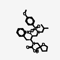 CCC1(CN(C(=O)O)[C@@H](Cc2ccccc2)[C@H](O)CN(CC(C)C)S(=O)(=O)c2ccc(OC)cc2)CCCO1